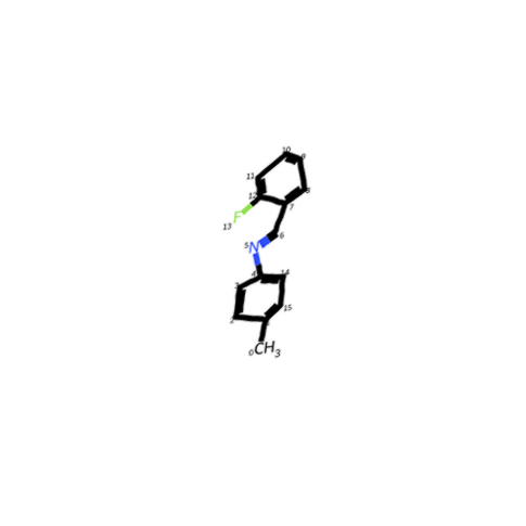 Cc1ccc(/N=C/c2ccccc2F)cc1